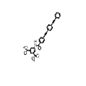 COC(=O)c1cc(NC(=O)c2ccc(C#Cc3ccc(C#Cc4ccccc4)cc3)cc2)cc(C(=O)OC)c1